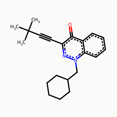 CC(C)(C)C#Cc1nn(CC2CCCCC2)c2ccccc2c1=O